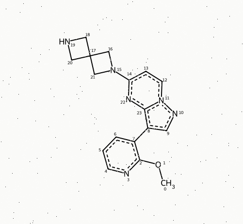 COc1ncccc1-c1cnn2ccc(N3CC4(CNC4)C3)nc12